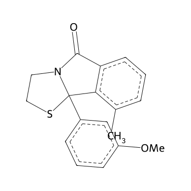 COc1cccc(C23SCCN2C(=O)c2cccc(C)c23)c1